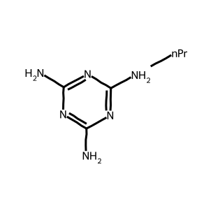 CCCC.Nc1nc(N)nc(N)n1